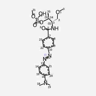 COC[C@H](NC(=O)c1ccc(/N=N/c2ccc(N(C)C)cc2)cc1)[C@H](C)OP(=O)(O)OC